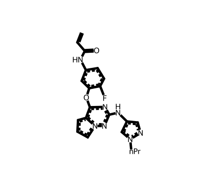 C=CC(=O)Nc1ccc(F)c(Oc2nc(Nc3cnn(CCC)c3)nn3cccc23)c1